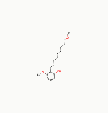 CCCOCCCCCCCCCc1c(O)cccc1OCC